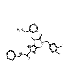 CN1C(=O)N(Cc2ccc(F)c(F)c2)Cc2nc(C(=O)NCc3ccccc3)[nH]c21.NCc1cccnc1